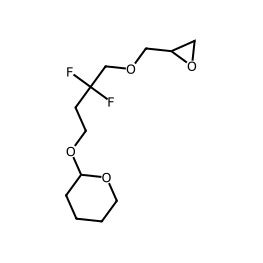 FC(F)(CCOC1CCCCO1)COCC1CO1